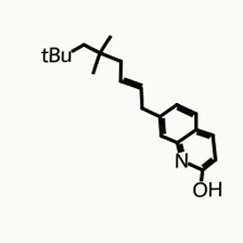 CC(C)(C)CC(C)(C)CC=CCc1ccc2ccc(O)nc2c1